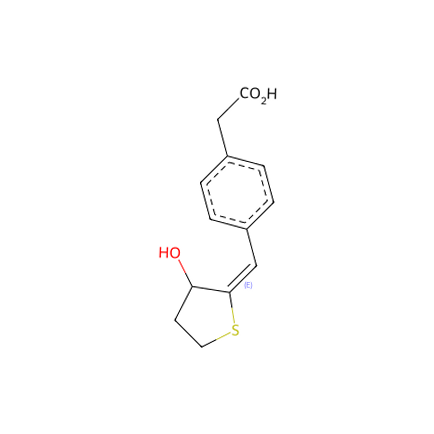 O=C(O)Cc1ccc(/C=C2/SCCC2O)cc1